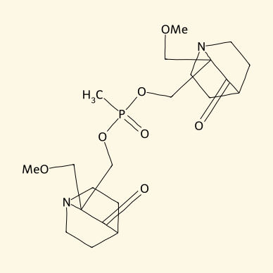 COCC1(COP(C)(=O)OCC2(COC)C(=O)C3CCN2CC3)C(=O)C2CCN1CC2